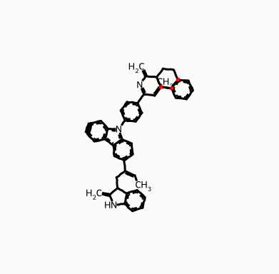 C=C(/N=C(\C=C(/C)c1ccccc1)c1ccc(-n2c3cc#ccc3c3cc(/C(=C/C)CC4C(=C)Nc5ccccc54)ccc32)cc1)C1CCCCC1